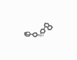 c1ccc2c(-c3ccc(Nc4ccc(C56CC7CC(C5)C(C7)C6)cc4)cc3)cccc2c1